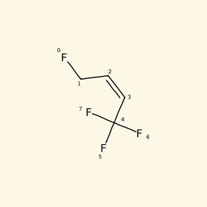 FC/C=C\C(F)(F)F